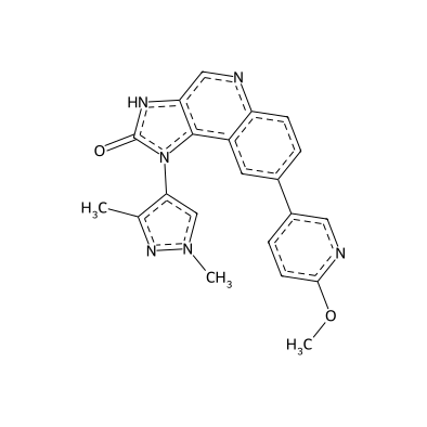 COc1ccc(-c2ccc3ncc4[nH]c(=O)n(-c5cn(C)nc5C)c4c3c2)cn1